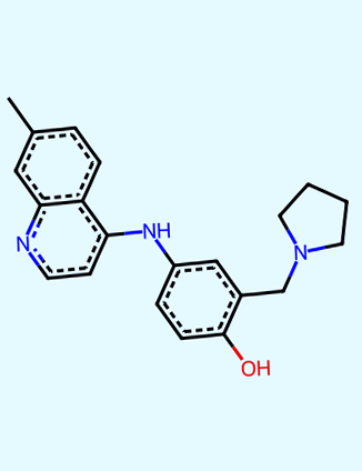 Cc1ccc2c(Nc3ccc(O)c(CN4CCCC4)c3)ccnc2c1